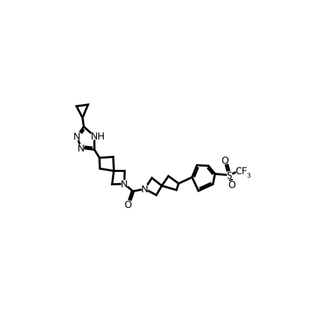 O=C(N1CC2(CC(c3ccc(S(=O)(=O)C(F)(F)F)cc3)C2)C1)N1CC2(CC(c3nnc(C4CC4)[nH]3)C2)C1